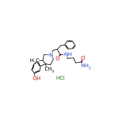 CC1CN(CC(Cc2ccccc2)C(=O)NCCCC(N)=O)CCC1(C)c1cccc(O)c1.Cl